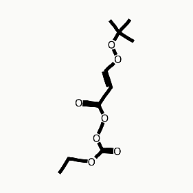 CCOC(=O)OOC(=O)C=COOC(C)(C)C